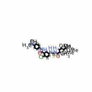 C=C(/C=C(OC)\C(OC)=C(/C)OC)C(=O)NC(=S)Nc1ccc(Cl)c(C(=O)Nc2ccc(N(C)C)cc2)c1